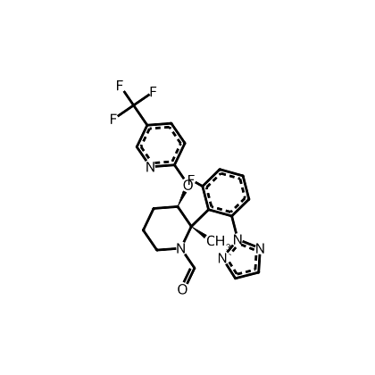 C[C@]1(c2c(F)cccc2-n2nccn2)[C@H](Oc2ccc(C(F)(F)F)cn2)CCCN1C=O